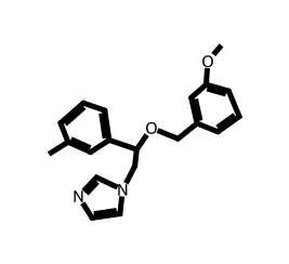 COc1cccc(COC(Cn2ccnc2)c2cccc(C)c2)c1